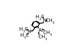 C[CH2][Al]([CH2]C)[c]1c(CN(C)C)cccc1CN(C)C